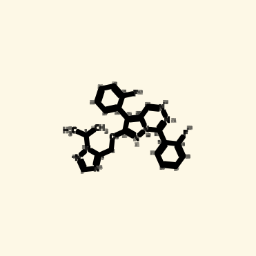 CC(C)n1ncnc1COc1nn2c(-c3ccccc3F)nncc2c1-c1ccccc1F